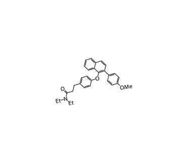 CCN(CC)C(=O)CCc1ccc(Oc2c(-c3ccc(OC)cc3)ccc3ccccc23)cc1